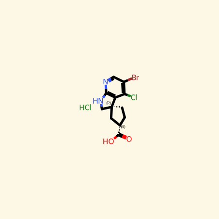 Cl.O=C(O)[C@H]1CC[C@@]2(CNc3ncc(Br)c(Cl)c32)C1